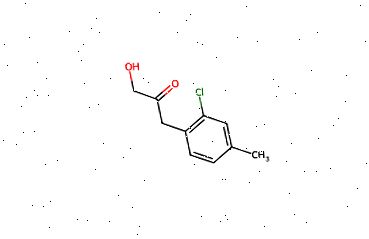 Cc1ccc(CC(=O)CO)c(Cl)c1